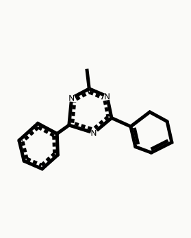 Cc1nc(C2=CC=CCC2)nc(-c2ccccc2)n1